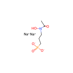 CC(=O)N(O)CCCP(=O)([O-])[O-].[Na+].[Na+]